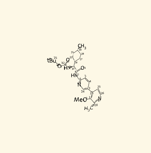 COc1c(-c2ccc(NC(=O)[C@@H](NC(=O)OC(C)(C)C)C3CCC(C)CC3)nc2)ccnc1C